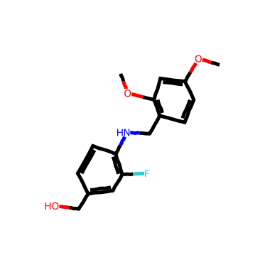 COc1ccc(CNc2ccc(CO)cc2F)c(OC)c1